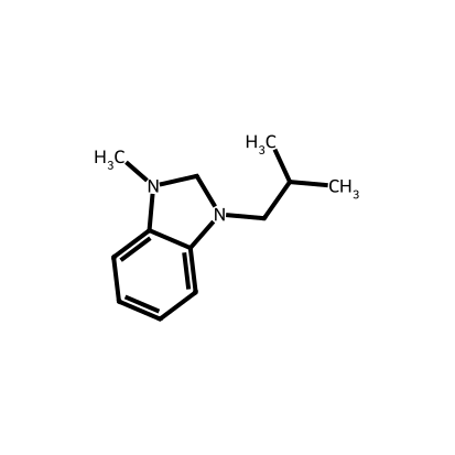 CC(C)CN1CN(C)c2ccccc21